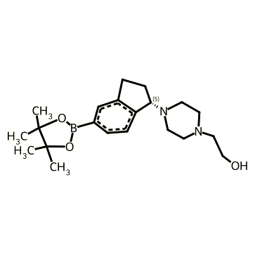 CC1(C)OB(c2ccc3c(c2)CC[C@@H]3N2CCN(CCO)CC2)OC1(C)C